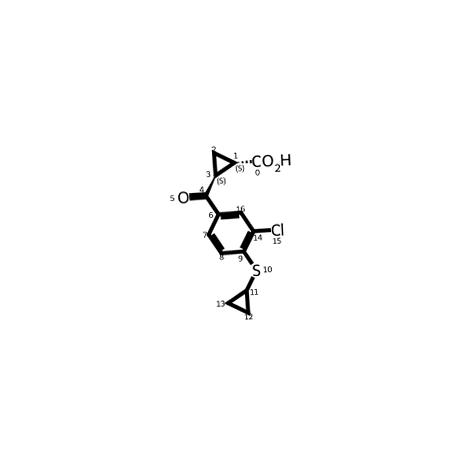 O=C(O)[C@H]1C[C@@H]1C(=O)c1ccc(SC2CC2)c(Cl)c1